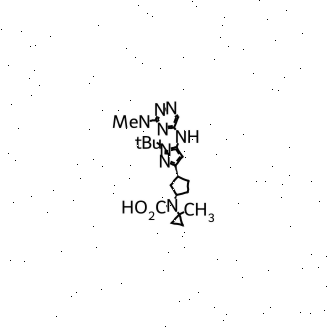 CNc1nncc(Nc2cc([C@H]3CC[C@@H](N(C(=O)O)C4(C)CC4)C3)nn2C(C)(C)C)n1